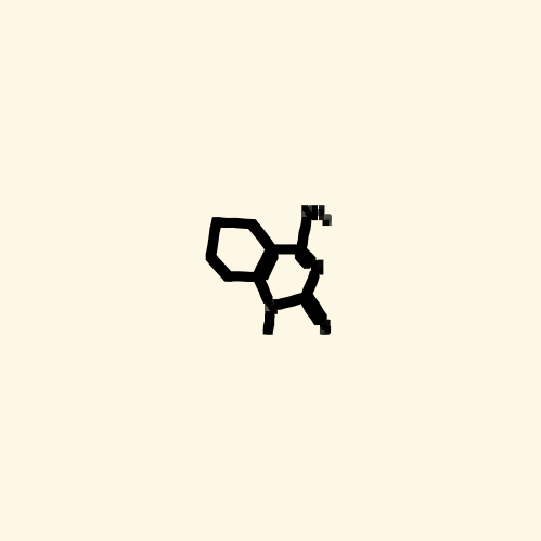 Cn1c2c(c(N)nc1=S)CCCC2